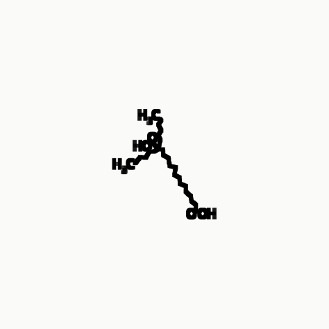 CCCCCCC(CCCCCC)(CCCCCCCCCCCCCC(=O)O)C(=O)O